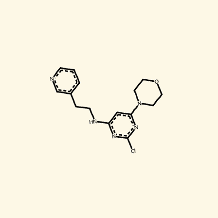 Clc1nc(NCCc2cccnc2)cc(N2CCOCC2)n1